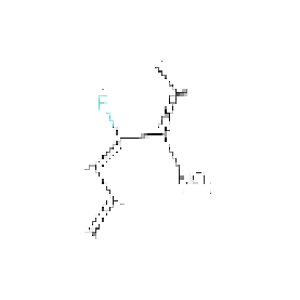 C=C/C=C(F)\C(=C/C)[N+](=O)[O-]